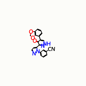 N#Cc1cccc(-n2nccc2-c2n[nH]cc(-c3cccc4c3OCO4)c2=O)c1